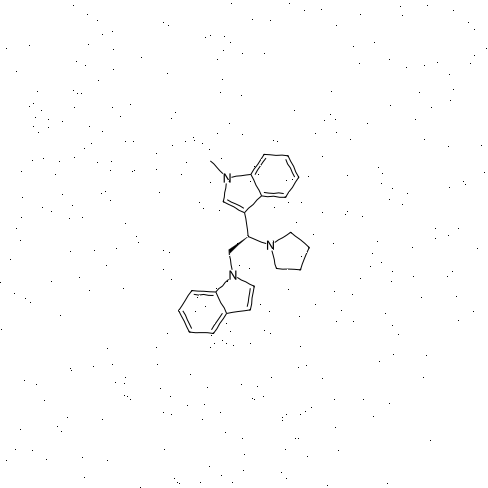 Cn1cc([C@H](Cn2ccc3ccccc32)N2CCCC2)c2ccccc21